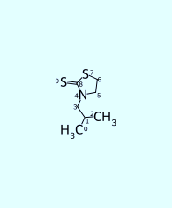 CC(C)CN1CCSC1=S